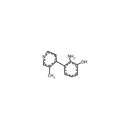 Cc1cnccc1-c1cccc(O)c1N